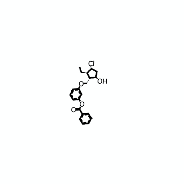 CC[C@@H]1[C@@H](COc2cccc(OC(=O)c3ccccc3)c2)[C@H](O)C[C@H]1Cl